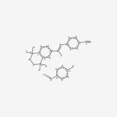 CSc1ccc(C=C(C)c2ccc3c(c2)C(C)(C)CCC3(C)C)cc1.Cc1ccc(C=S)cc1